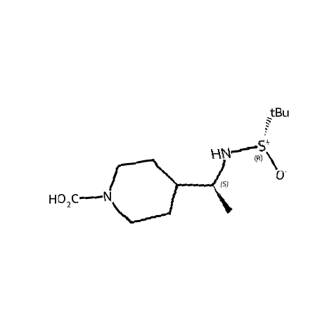 C[C@H](N[S@@+]([O-])C(C)(C)C)C1CCN(C(=O)O)CC1